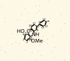 COc1ccccc1Nc1cc(-c2ccccc2)ccc1C(=O)O